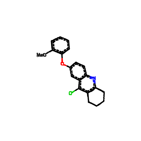 COc1ccccc1Oc1ccc2nc3c(c(Cl)c2c1)CCCC3